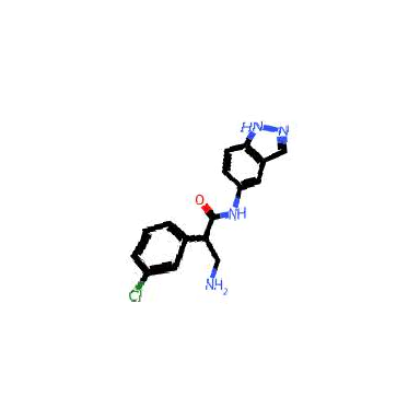 NCC(C(=O)Nc1ccc2[nH]ncc2c1)c1cccc(Cl)c1